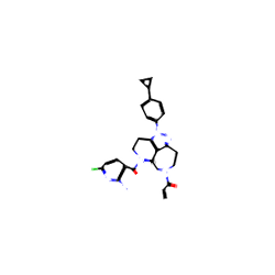 C=CC(=O)N1CCc2nn(-c3ccc(C4CC4)cc3)c3c2[C@H](C1)N(C(=O)c1ccc(Cl)nc1N)CC3